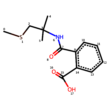 CSCC(C)(C)NC(=O)c1ccccc1C(=O)O